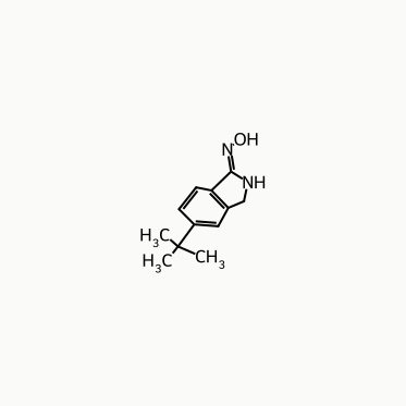 CC(C)(C)c1ccc2c(c1)CNC2=NO